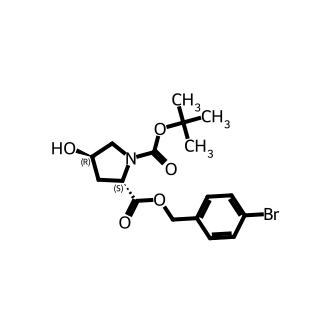 CC(C)(C)OC(=O)N1C[C@H](O)C[C@H]1C(=O)OCc1ccc(Br)cc1